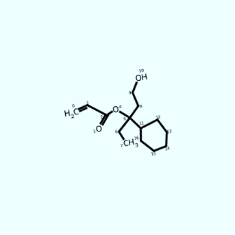 C=CC(=O)OC(CC)(CCO)C1CCCCC1